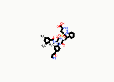 Cc1cc(C)cc(C(=O)N(C)[C@@H](Cc2ccc(-c3ccno3)cc2)C(=O)N([C@@H](Cc2c[nH]c3ccccc23)C(N)=O)S(=O)(=O)CCC(N)C(=O)O)c1